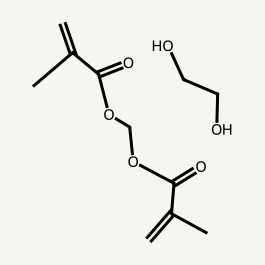 C=C(C)C(=O)OCOC(=O)C(=C)C.OCCO